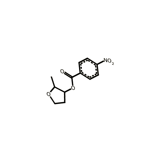 CC1OCCC1OC(=O)c1ccc([N+](=O)[O-])cc1